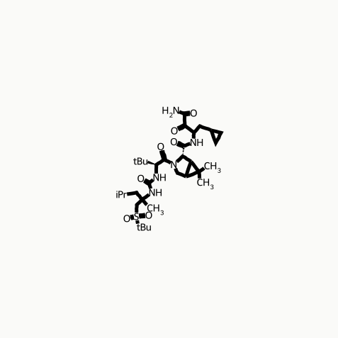 CC(C)CC(C)(CS(=O)(=O)C(C)(C)C)NC(=O)N[C@H](C(=O)N1CC2C([C@H]1C(=O)NC(CC1CC1)C(=O)C(N)=O)C2(C)C)C(C)(C)C